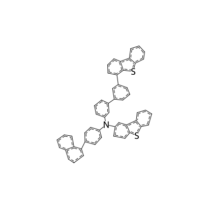 c1cc(-c2cccc(N(c3ccc(-c4cccc5ccccc45)cc3)c3ccc4sc5ccccc5c4c3)c2)cc(-c2cccc3c2sc2ccccc23)c1